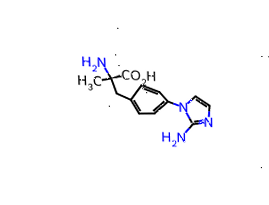 C[C@](N)(Cc1ccc(-n2ccnc2N)cc1)C(=O)O